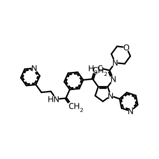 C=C(NCCc1cccnc1)c1cccc(C(=C)C2=C(/N=C(\C)N3CCOCC3)N(c3cccnc3)CC2)c1